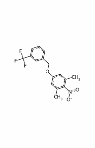 Cc1cc(OCc2cccc(C(F)(F)F)c2)cc(C)c1[N+](=O)[O-]